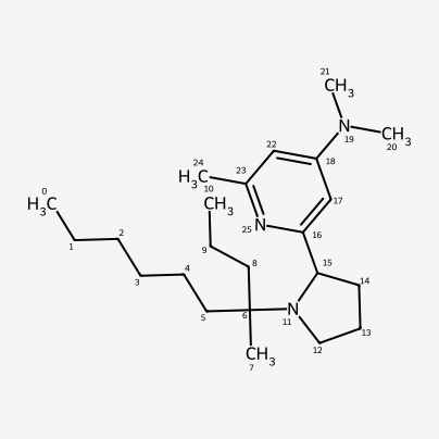 CCCCCCC(C)(CCC)N1CCCC1c1cc(N(C)C)cc(C)n1